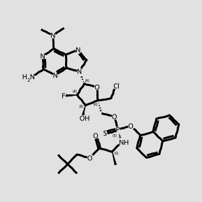 C[C@H](N[P@](=S)(OC[C@@]1(CCl)O[C@@H](n2cnc3c(N(C)C)nc(N)nc32)[C@H](F)[C@@H]1O)Oc1cccc2ccccc12)C(=O)OCC(C)(C)C